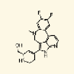 CN1Cc2c(C3=C[C@H](CO)NCC3)[nH]c3nccc(c23)-c2cc(F)c(F)cc21